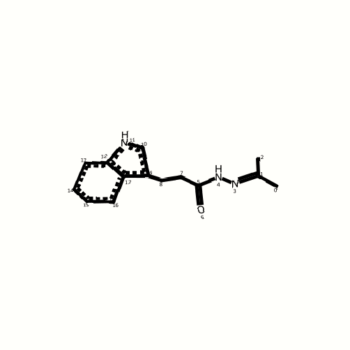 CC(C)=NNC(=O)CCc1c[nH]c2ccccc12